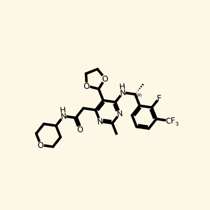 Cc1nc(CC(=O)NC2CCOCC2)c(C2OCCO2)c(N[C@H](C)c2cccc(C(F)(F)F)c2F)n1